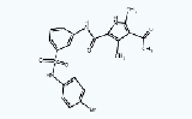 CC(=O)c1c(C)[nH]c(C(=O)Nc2cccc(S(=O)(=O)Nc3ccc(Br)cc3)c2)c1C